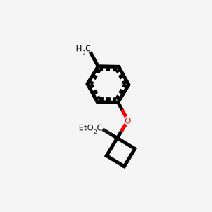 CCOC(=O)C1(Oc2ccc(C)cc2)CCC1